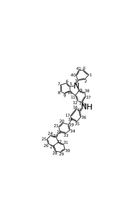 c1ccc(-n2c3ccccc3c3cc(Nc4ccc(-c5ccc(-c6cccc7ccccc67)cc5)cc4)ccc32)cc1